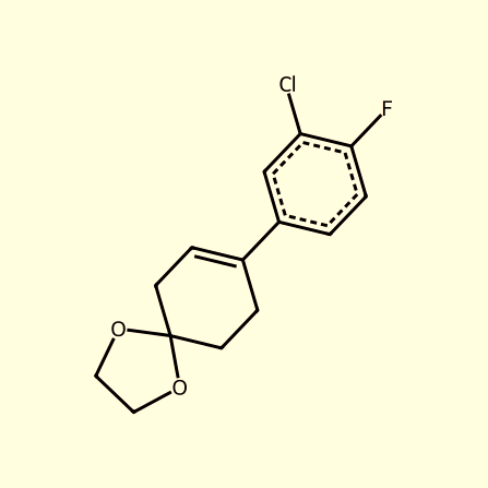 Fc1ccc(C2=CCC3(CC2)OCCO3)cc1Cl